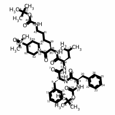 CC(C)C[C@@H](NC(=O)[C@@H](Cc1ccccc1)NC(=O)[C@@H](Cc1ccccc1)NC(=O)OC(C)(C)C)C(=O)N[C@H](CCCCNC(=O)OC(C)(C)C)C(=O)N1CCC(P(C)(C)=O)CC1